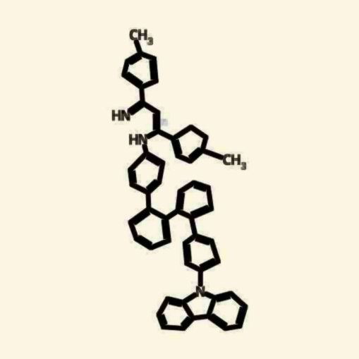 CC1=CC=C(/C(=C/C(=N)c2ccc(C)cc2)Nc2ccc(-c3ccccc3-c3ccccc3-c3ccc(-n4c5ccccc5c5ccccc54)cc3)cc2)CC1